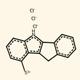 [Cl-].[Cl-].[Cl-].[Ti+3][c]1cccc2[nH]c3c(c12)Cc1ccccc1-3